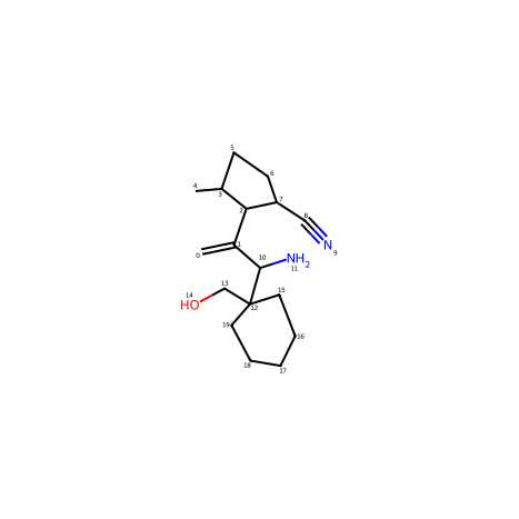 C=C(C1C(C)CCC1C#N)C(N)C1(CO)CCCCC1